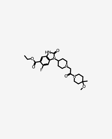 CCOC(=O)c1cc2[nH]c(=O)n(C3CCN(CC(=O)N4CCC(C)(OC)CC4)CC3)c2cc1F